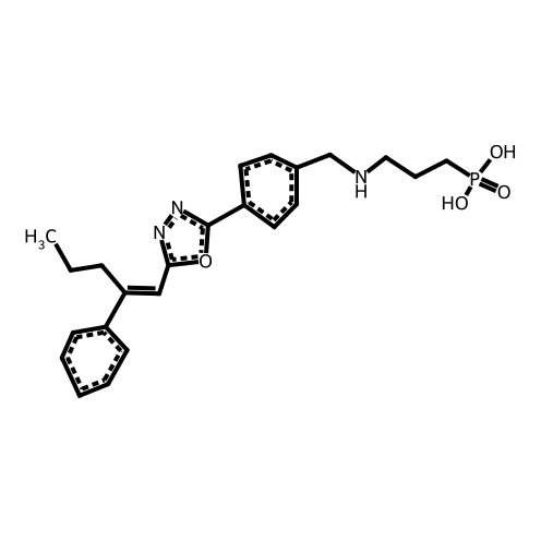 CCC/C(=C\c1nnc(-c2ccc(CNCCCP(=O)(O)O)cc2)o1)c1ccccc1